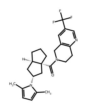 Cc1ccc(C)n1[C@@H]1C[C@H]2CCC[C@@]2(C(=O)N2CCc3ncc(C(F)(F)F)cc3C2)C1